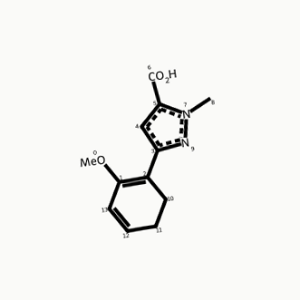 COC1=C(c2cc(C(=O)O)n(C)n2)CCC=C1